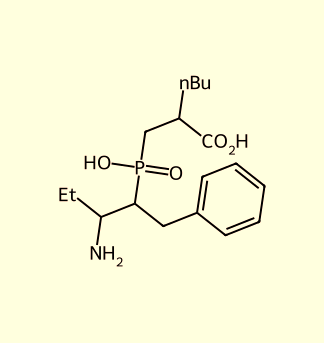 CCCCC(CP(=O)(O)C(Cc1ccccc1)C(N)CC)C(=O)O